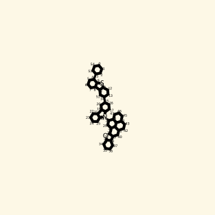 c1ccc(-c2cccc3c2sc2ccc(-c4ccc5c(c4)c4ccccc4n5-c4cc5c6oc7ccccc7c6cc6ccc7cccc4c7c65)cc23)cc1